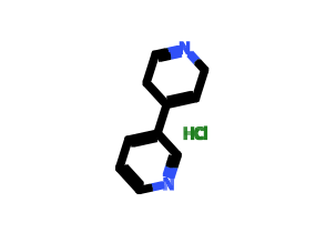 C1=NCC=C(c2cccnc2)C1.Cl